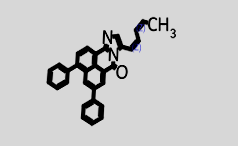 C/C=C\C=C/c1cnc2c3ccc(-c4ccccc4)c4cc(-c5ccccc5)cc(c(=O)n12)c43